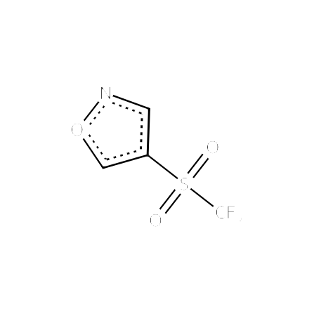 O=S(=O)(c1cnoc1)C(F)(F)F